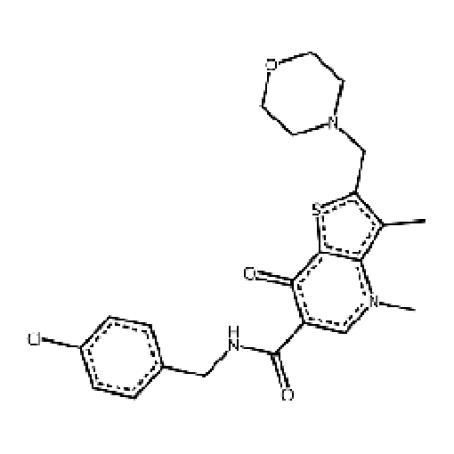 Cc1c(CN2CCOCC2)sc2c(=O)c(C(=O)NCc3ccc(Cl)cc3)cn(C)c12